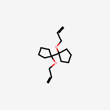 C=CCOC1(C2(OCC=C)CCCC2)CCCC1